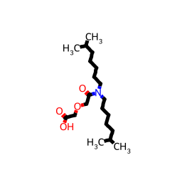 CC(C)CCCCCN(CCCCCC(C)C)C(=O)COCC(=O)O